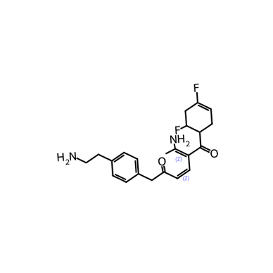 C/C(N)=C(\C=C/C(=O)Cc1ccc(CCN)cc1)C(=O)C1CC=C(F)CC1F